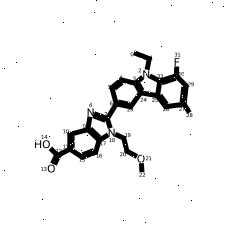 CCn1c2ccc(-c3nc4cc(C(=O)O)ccc4n3CCOC)cc2c2cc(C)cc(F)c21